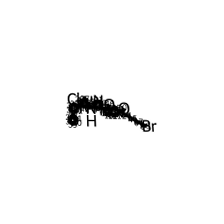 O=C(CCCCCCCBr)N1CCC2(CC1)CCN(c1cncc(Nc3ncc(Cl)c(-c4cccc(-c5ccccc5)c4)n3)c1)C2=O